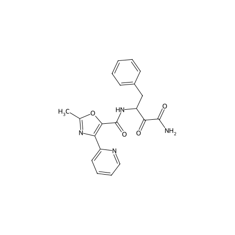 Cc1nc(-c2ccccn2)c(C(=O)NC(Cc2ccccc2)C(=O)C(N)=O)o1